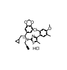 C#CCN(c1nc(-c2cc(C)c(OC)cc2Cl)c(C)s1)[C@@H](CC1CC1)c1ccc2c(c1)OCO2.Cl